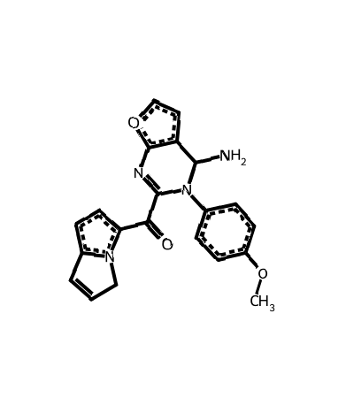 COc1ccc(N2C(C(=O)c3ccc4n3CC=C4)=Nc3occc3C2N)cc1